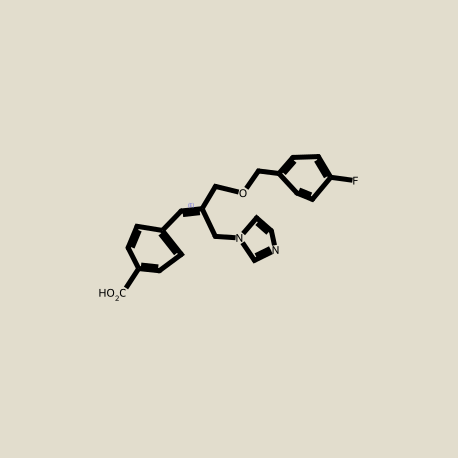 O=C(O)c1ccc(/C=C(/COCc2ccc(F)cc2)Cn2ccnc2)cc1